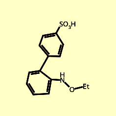 CCONc1ccccc1-c1ccc(S(=O)(=O)O)cc1